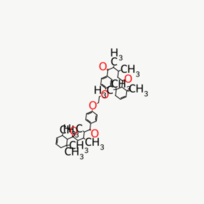 CC1C=CCC(C)(C)C1C(=O)CC(C)C(C)C(=O)c1ccc(OCCOc2ccc(C(=O)C(C)C(C)CC(=O)C3C(C)C=CCC3(C)C)cc2)cc1